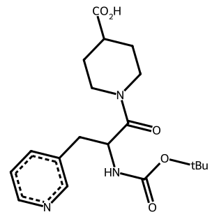 CC(C)(C)OC(=O)NC(Cc1cccnc1)C(=O)N1CCC(C(=O)O)CC1